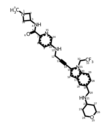 CN1CC(NC(=O)c2ccc(NCC#Cc3cc4cc(CNC5CCOCC5)ccc4n3CC(F)(F)F)cn2)C1